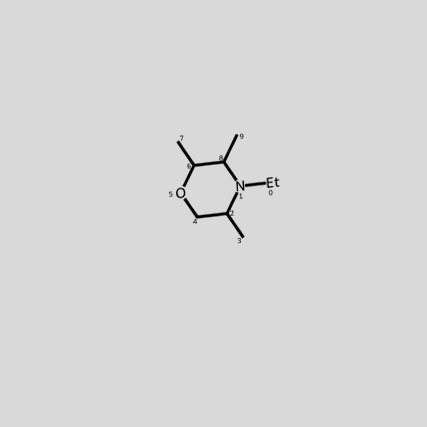 CCN1C(C)COC(C)C1C